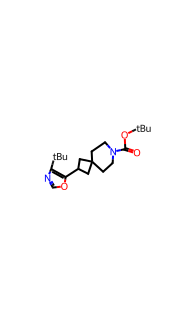 CC(C)(C)OC(=O)N1CCC2(CC1)CC(c1ocnc1C(C)(C)C)C2